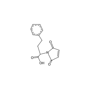 O=C(O)C(CCc1ccccc1)N1C(=O)C=CC1=O